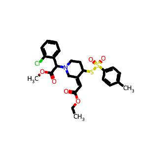 CCOC(=O)C=C1CN(C(C(=O)OC)c2ccccc2Cl)CCC1SS(=O)(=O)c1ccc(C)cc1